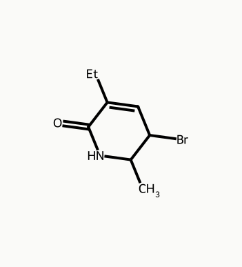 CCC1=CC(Br)C(C)NC1=O